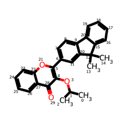 CC(C)Oc1c(-c2ccc3c(c2)C(C)(C)c2ccccc2-3)oc2ccccc2c1=O